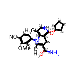 COc1cc(C#N)ccc1N1C(C)=C(C(N)=O)Cc2c(OC3CCCC3)ncc(C)c21